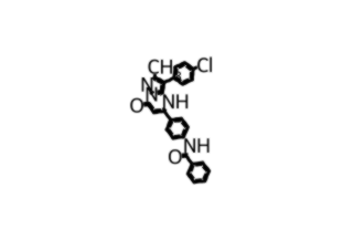 Cc1nn2c(=O)cc(-c3ccc(NC(=O)c4ccccc4)cc3)[nH]c2c1-c1ccc(Cl)cc1